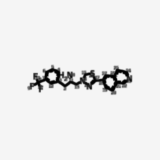 N[C@@H](Cc1cccc(C(F)(F)F)c1)CN1CSC(c2ccc3cnccc3c2)=N1